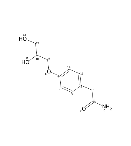 NC(=O)Cc1ccc(OCC(O)CO)cc1